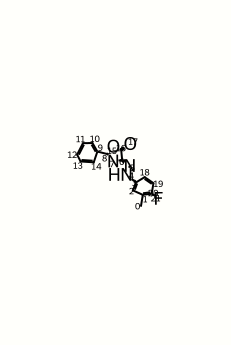 Cc1cc(NN=C2N=C(c3ccccc3)OC2=O)ccc1F